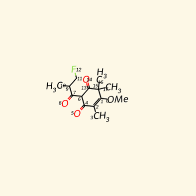 COC1=C(C)C(=O)C(C(=O)C(C)CF)C(=O)C1(C)C